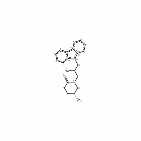 C[C@@H]1CCC(=O)N(CC(O)Cn2c3ccccc3c3ccccc32)C1